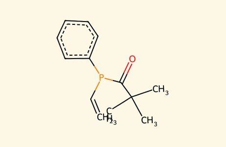 C=CP(C(=O)C(C)(C)C)c1ccccc1